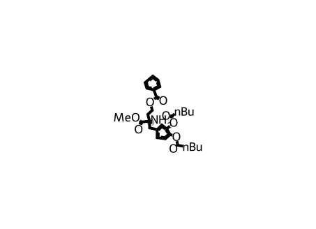 CCCCC(=O)Oc1ccc(C[C@](N)(CCOC(=O)c2ccccc2)C(=O)OC)cc1OC(=O)CCCC